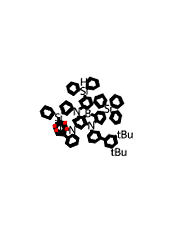 CC(C)(C)c1cc(-c2cccc(N3c4ccc([Si](c5ccccc5)(c5ccccc5)c5ccccc5)cc4B4c5ccc([SiH](c6ccccc6)c6ccccc6)cc5N(c5cccc([SiH](c6ccccc6)c6ccccc6)c5)c5cc(-n6c7ccccc7c7ccccc76)cc3c54)c2)cc(C(C)(C)C)c1